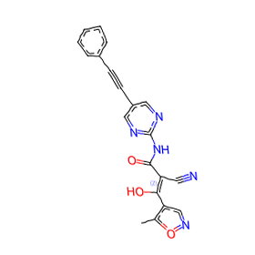 Cc1oncc1/C(O)=C(\C#N)C(=O)Nc1ncc(C#Cc2ccccc2)cn1